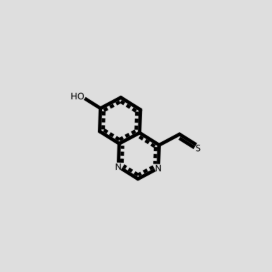 Oc1ccc2c(C=S)ncnc2c1